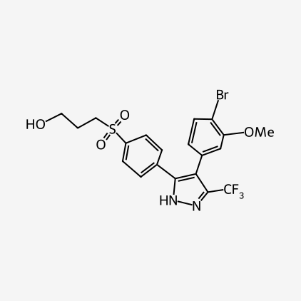 COc1cc(-c2c(C(F)(F)F)n[nH]c2-c2ccc(S(=O)(=O)CCCO)cc2)ccc1Br